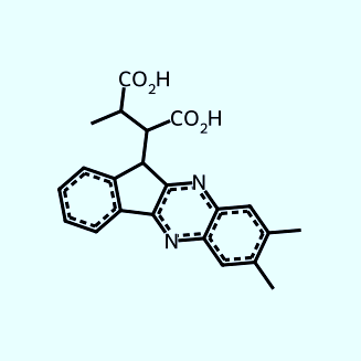 Cc1cc2nc3c(nc2cc1C)C(C(C(=O)O)C(C)C(=O)O)c1ccccc1-3